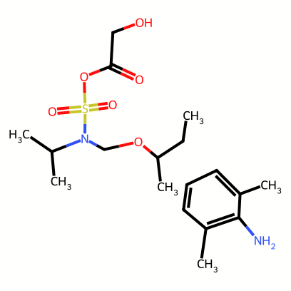 CCC(C)OCN(C(C)C)S(=O)(=O)OC(=O)CO.Cc1cccc(C)c1N